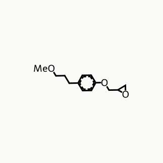 COCCCc1ccc(OCC2CO2)cc1